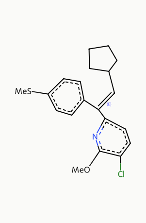 COc1nc(/C(=C/C2CCCC2)c2ccc(SC)cc2)ccc1Cl